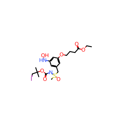 CCOC(=O)CCCOc1cc(CS(C)(=O)=NC(=O)OC(C)(C)CI)cc(NO)c1